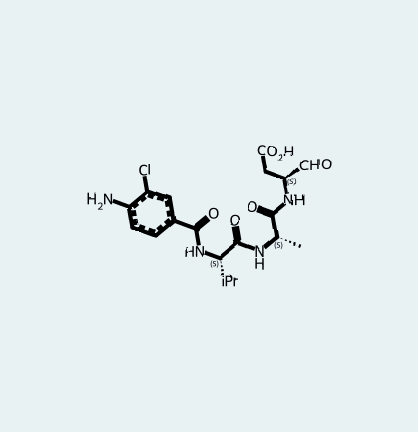 CC(C)[C@H](NC(=O)c1ccc(N)c(Cl)c1)C(=O)N[C@@H](C)C(=O)N[C@H](C=O)CC(=O)O